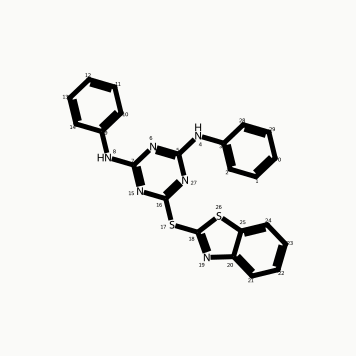 c1ccc(Nc2nc(Nc3ccccc3)nc(Sc3nc4ccccc4s3)n2)cc1